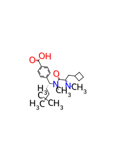 CN=C(CC1CCC1)C(=O)N(C)[C@H](CCC(C)(C)C)c1ccc(C(=O)O)cc1